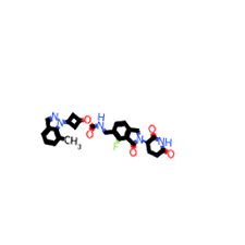 Cc1cccc2cnn(C3CC(OC(=O)NCc4ccc5c(c4F)C(=O)N([C@@H]4CCC(=O)NC4=O)C5)C3)c12